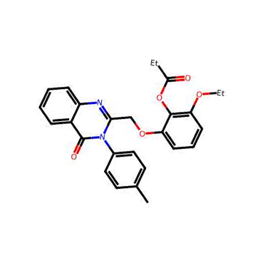 CCOc1cccc(OCc2nc3ccccc3c(=O)n2-c2ccc(C)cc2)c1OC(=O)CC